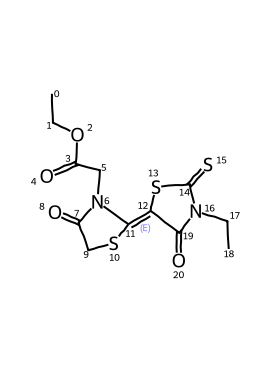 CCOC(=O)CN1C(=O)CS/C1=C1/SC(=S)N(CC)C1=O